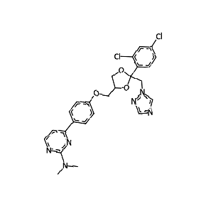 CN(C)c1nccc(-c2ccc(OCC3COC(Cn4cncn4)(c4ccc(Cl)cc4Cl)O3)cc2)n1